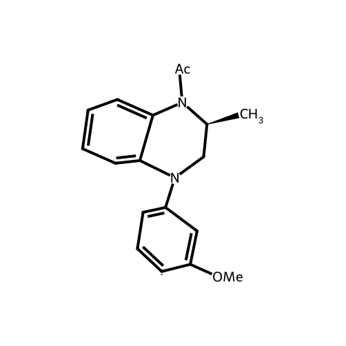 COc1[c]ccc(N2C[C@H](C)N(C(C)=O)c3ccccc32)c1